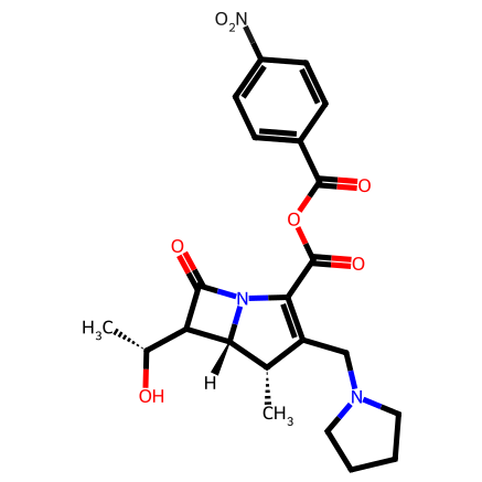 C[C@@H](O)C1C(=O)N2C(C(=O)OC(=O)c3ccc([N+](=O)[O-])cc3)=C(CN3CCCC3)[C@H](C)[C@H]12